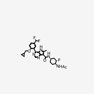 CC(=O)N[C@H]1CC[C@H](NC(=O)c2c(C)[nH]c3c(-c4cc(C(F)F)ccc4OCC4CC4)ncnc23)C[C@@H]1F